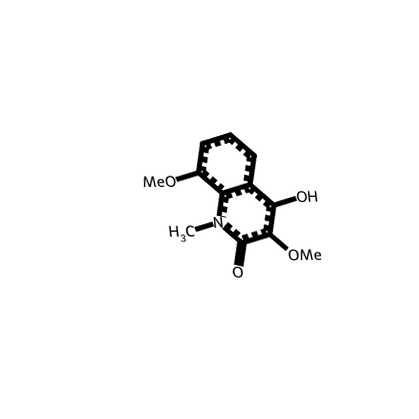 COc1c(O)c2cccc(OC)c2n(C)c1=O